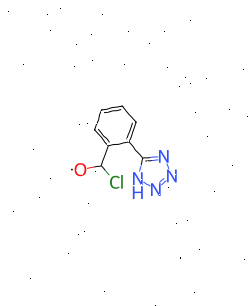 [O]C(Cl)c1ccccc1-c1nnn[nH]1